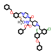 CCSc1ccc(OCc2ccccc2)cc1CN1CCN(C(=O)[C@H](NC(=O)OCc2ccccc2)C2CCN(CCc3cc(Cl)ccc3-c3cc(OCc4ccccc4)ccc3F)CC2)CC1